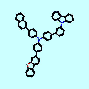 c1cc(-c2ccc(N(c3ccc(-c4ccc5ccccc5c4)cc3)c3ccc(-c4ccc5c(c4)oc4ccccc45)cc3)cc2)cc(-n2c3ccccc3c3ccccc32)c1